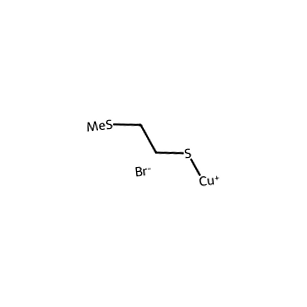 CSCC[S][Cu+].[Br-]